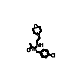 CC(=O)[C@@H](Cc1ccc(Cl)cc1)NCCN1CCOCC1